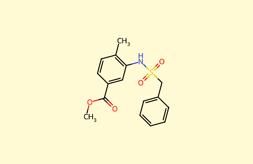 COC(=O)c1ccc(C)c(NS(=O)(=O)Cc2ccccc2)c1